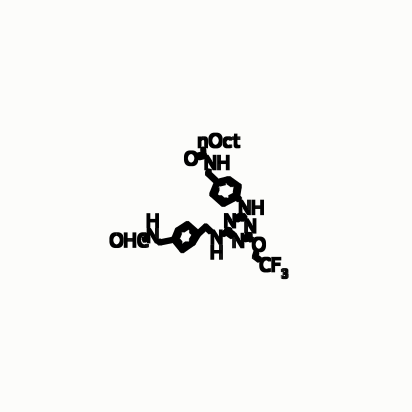 CCCCCCCCC(=O)NCc1ccc(Nc2nc(NCc3ccc(CNC=O)cc3)nc(OCC(F)(F)F)n2)cc1